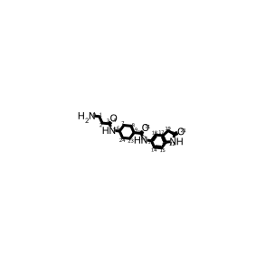 NCCC(=O)NC1CCC(C(=O)Nc2ccc3c(c2)CC(=O)N3)CC1